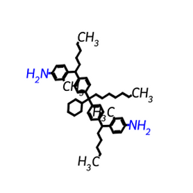 CCCCCCCC(c1ccc(C(CCCCC)c2ccc(N)cc2C)cc1)(c1ccc(C(CCCCC)c2ccc(N)cc2C)cc1)C1CCCCC1